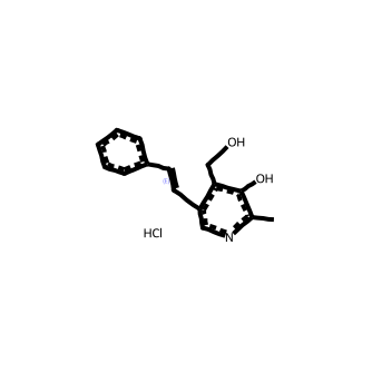 Cc1ncc(/C=C/c2ccccc2)c(CO)c1O.Cl